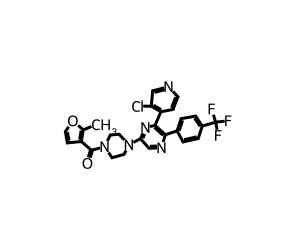 Cc1occc1C(=O)N1CCN(c2cnc(-c3ccc(C(F)(F)F)cc3)c(-c3ccncc3Cl)n2)CC1